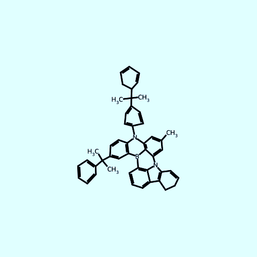 Cc1cc2c3c(c1)-n1c4c(c5cccc(c51)B3c1cc(C(C)(C)c3ccccc3)ccc1N2c1ccc(C(C)(C)C2C=CC=CC2)cc1)CCC=C4